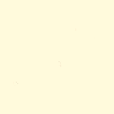 COc1ccc(NCC2CCC(N)CC2)cc1Cl